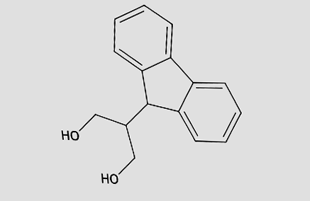 OCC(CO)C1c2ccccc2-c2ccccc21